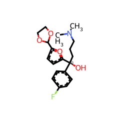 CN(C)CCC[C@](O)(c1ccc(F)cc1)c1ccc(C2OCCO2)o1